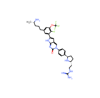 C[C@H](N)CCCc1cc(OC(F)(F)F)c(F)c(-c2cc3cn(-c4ccc([C@H]5CC[C@H](CCNC(=N)N)N5)cc4)c(=O)nc3[nH]2)c1